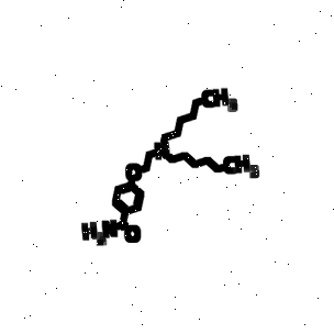 CCCCCCN(CCCCCC)CCOc1ccc(C(N)=O)cc1